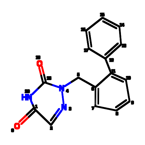 O=c1cnn(Cc2ccccc2-c2ccccc2)c(=O)[nH]1